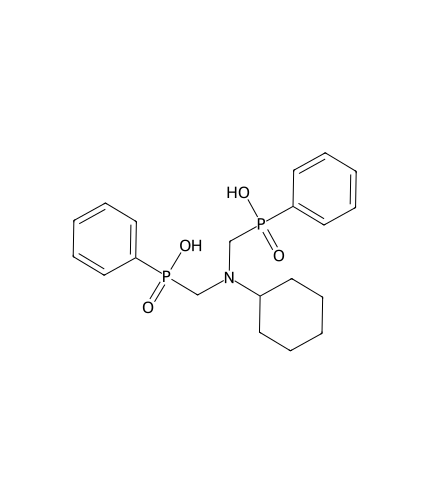 O=P(O)(CN(CP(=O)(O)c1ccccc1)C1CCCCC1)c1ccccc1